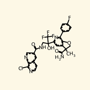 C[C@]1(C(N)=O)COc2c1cc(C(O)(CNC(=O)c1cnc3c(Cl)nccc3c1)C(F)(F)F)nc2-c1ccc(F)cc1